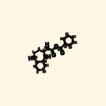 O=C(NC1CCNc2ccccc2N1)OC(=O)c1ccccc1